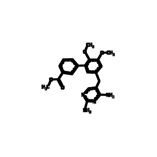 COC(=O)c1cccc(-c2cc(Cc3cnc(N)nc3N)cc(OC)c2OC)c1